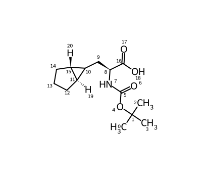 CC(C)(C)OC(=O)N[C@@H](CC1[C@H]2CCC[C@H]12)C(=O)O